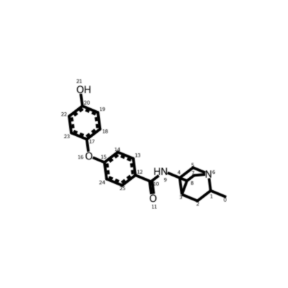 CC1CC2CCN1CC2NC(=O)c1ccc(Oc2ccc(O)cc2)cc1